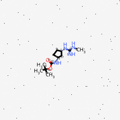 CNC(=N)N[C@H]1CC[C@H](NC(=O)OC(C)(C)C)C1